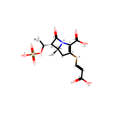 CC(OS(=O)(=O)O)[C@@H]1C(=O)N2C(C(=O)O)=C(SC=CC(=O)O)C[C@H]12